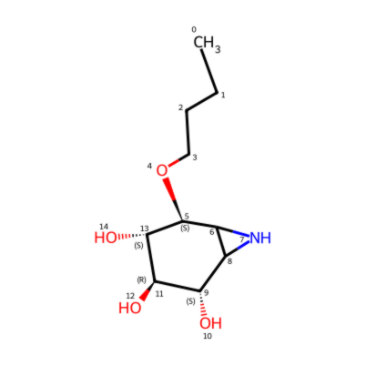 CCCCO[C@H]1C2NC2[C@H](O)[C@@H](O)[C@@H]1O